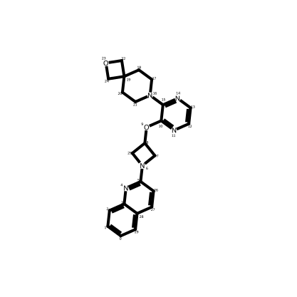 c1ccc2nc(N3CC(Oc4nccnc4N4CCC5(CC4)COC5)C3)ccc2c1